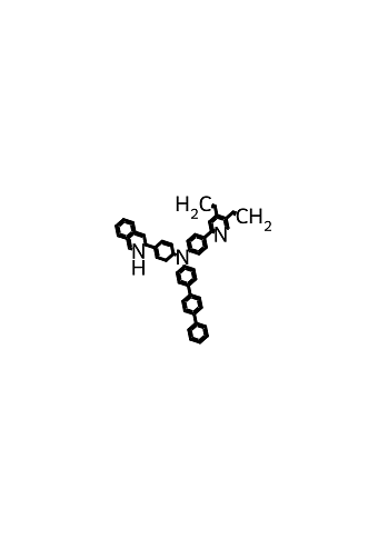 C=Cc1cnc(-c2ccc(N(c3ccc(-c4ccc(-c5ccccc5)cc4)cc3)C3C=CC(C4C=c5ccccc5=CN4)=CC3)cc2)cc1C=C